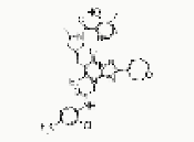 CCc1c(C=C2CC(C)N(C(=O)c3ncnc(C)c3O)C2)c(=O)n2nc(C3=CCCOCC3)nc2n1CC(=O)Nc1ccc(C(F)(F)F)cc1Cl